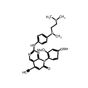 C#Cc1cc(=O)n(-c2ccc(OC)cc2OC)c2nc(Nc3ccc(N(C)CCN(C)C)cc3)ncc12